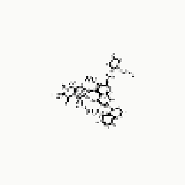 C=CC(=O)N1[C@H](C)CN(c2c(C#N)c(OC[C@@H]3CCCN3C)nc3c2CCN(c2cccc4cccc(C)c24)C3)C[C@@H]1C